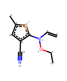 C=CN(OCC)c1sc(C)cc1C#N